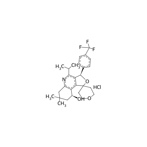 CC(C)c1nc2c(c3c1[C@@H](c1ccc(C(F)(F)F)cc1)OC31CCOCC1)[C@@H](O)CC(C)(C)C2.Cl